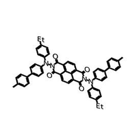 CCc1ccc(N(c2ccc(-c3ccc(C)cc3)cc2)N2C(=O)c3ccc4c5c(ccc(c35)C2=O)C(=O)N(N(c2ccc(CC)cc2)c2ccc(-c3ccc(C)cc3)cc2)C4=O)cc1